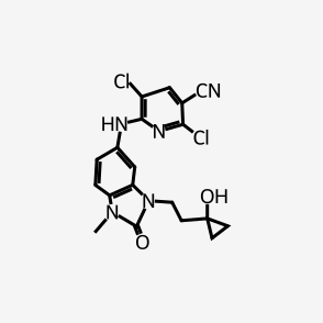 Cn1c(=O)n(CCC2(O)CC2)c2cc(Nc3nc(Cl)c(C#N)cc3Cl)ccc21